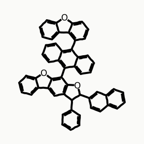 c1ccc(C2c3cc4c(oc5ccccc54)c(-c4c5ccccc5c(-c5cccc6oc7ccccc7c56)c5ccccc45)c3OC2c2ccc3ccccc3c2)cc1